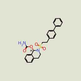 NC(=O)O[C@@H]1c2ccccc2CCN1S(=O)(=O)CCc1ccc(-c2ccccc2)cc1